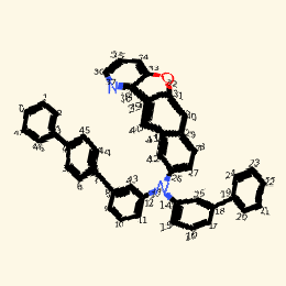 c1ccc(-c2ccc(-c3cccc(N(c4cccc(-c5ccccc5)c4)c4ccc5cc6oc7cccnc7c6cc5c4)c3)cc2)cc1